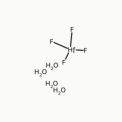 O.O.O.O.[F][Hf]([F])([F])[F]